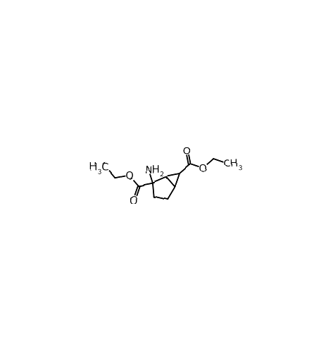 CCOC(=O)C1C2CCC(N)(C(=O)OCC)C21